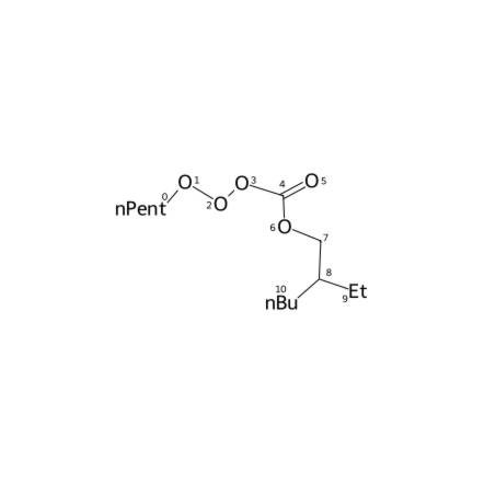 CCCCCOOOC(=O)OCC(CC)CCCC